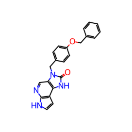 O=c1[nH]c2c3cc[nH]c3ncc2n1Cc1ccc(OCc2ccccc2)cc1